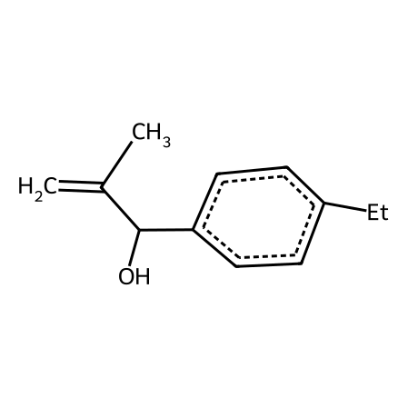 C=C(C)C(O)c1ccc(CC)cc1